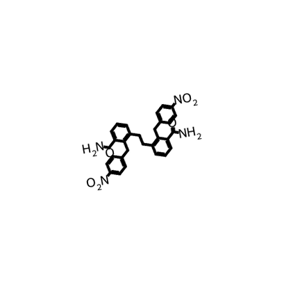 NC(=O)c1cccc(CCc2cccc(C(N)=O)c2Cc2ccc([N+](=O)[O-])cc2)c1Cc1ccc([N+](=O)[O-])cc1